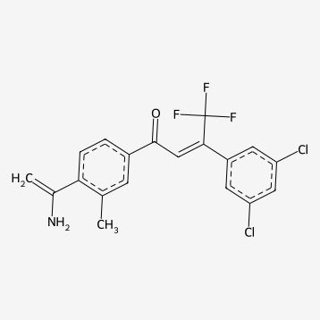 C=C(N)c1ccc(C(=O)/C=C(/c2cc(Cl)cc(Cl)c2)C(F)(F)F)cc1C